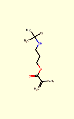 C=C(C)C(=O)OCCCNC(C)(C)CC